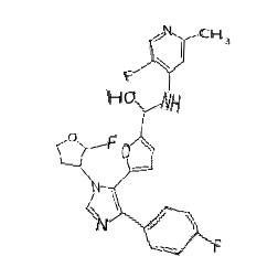 Cc1cc(NC(O)c2ccc(-c3c(-c4ccc(F)cc4)ncn3C3CCOC3F)o2)c(F)cn1